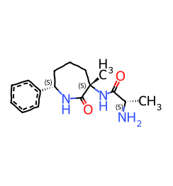 C[C@H](N)C(=O)N[C@@]1(C)CCC[C@@H](c2ccccc2)NC1=O